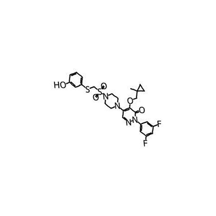 CC1(COc2c(N3CCN(S(=O)(=O)CSc4cccc(O)c4)CC3)cnn(-c3cc(F)cc(F)c3)c2=O)CC1